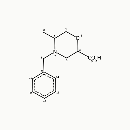 CC1COC(C(=O)O)CN1Cc1ccccc1